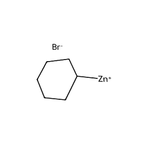 [Br-].[Zn+][CH]1CCCCC1